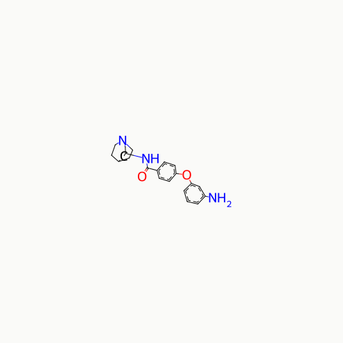 Nc1cccc(Oc2ccc(C(=O)NC3CC4CCN(CC4)C3)cc2)c1